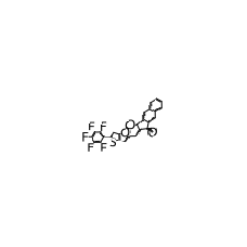 O=C1C(=Cc2cc3sc(-c4c(F)c(F)c(F)c(F)c4F)cc3o2)C(=O)c2cc3ccccc3cc21